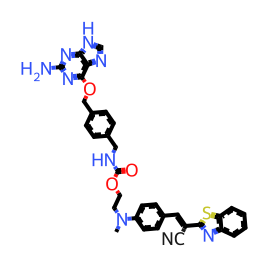 CN(CCOC(=O)NCc1ccc(COc2nc(N)nc3[nH]cnc23)cc1)c1ccc(/C=C(\C#N)c2nc3ccccc3s2)cc1